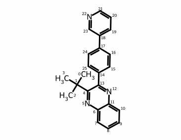 CC(C)(C)c1nc2ccccc2nc1-c1ccc(-c2cccnc2)cc1